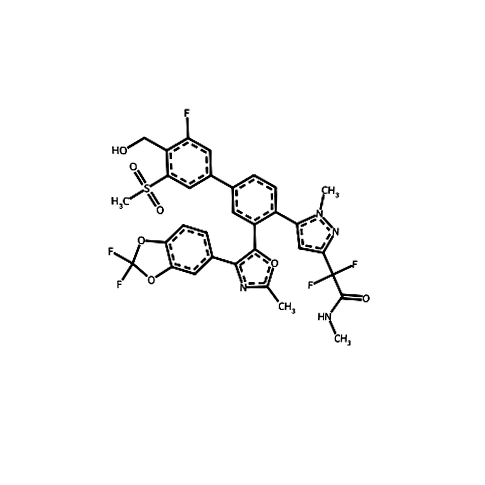 CNC(=O)C(F)(F)c1cc(-c2ccc(-c3cc(F)c(CO)c(S(C)(=O)=O)c3)cc2-c2oc(C)nc2-c2ccc3c(c2)OC(F)(F)O3)n(C)n1